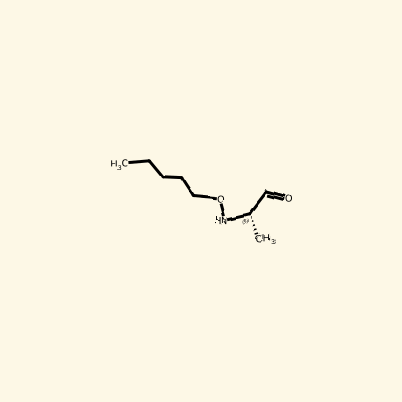 CCCCCON[C@@H](C)[C]=O